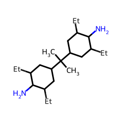 CCC1CC(C(C)(C)C2CC(CC)C(N)C(CC)C2)CC(CC)C1N